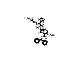 CSC1=C(C(=O)OC(c2ccccc2)c2ccccc2)N2C(=O)C(NC(=O)C(=NOCC(=O)OC(C)(C)C)c3ncsn3)[C@@H]2SC1